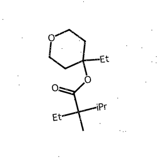 CCC1(OC(=O)C(C)(CC)C(C)C)CCOCC1